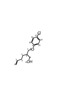 C=CCCC(CO)COc1ccc(Cl)cc1